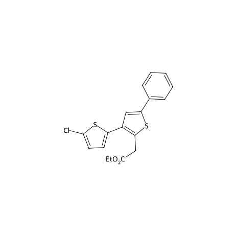 CCOC(=O)Cc1sc(-c2ccccc2)cc1-c1ccc(Cl)s1